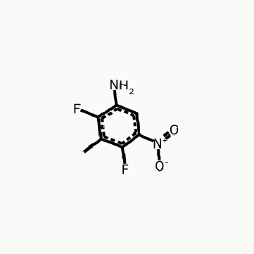 Cc1c(F)c(N)cc([N+](=O)[O-])c1F